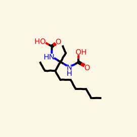 CCCCCCC(CC)C(CC)(NC(=O)O)NC(=O)O